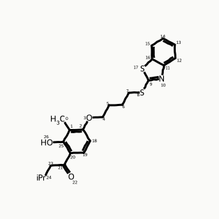 Cc1c(OCCCCSc2nc3ccccc3s2)ccc(C(=O)CC(C)C)c1O